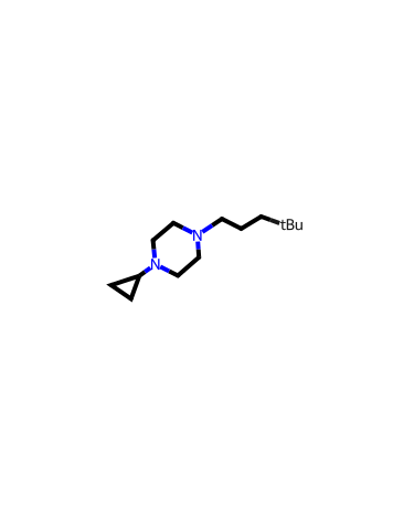 CC(C)(C)CCCN1CCN(C2CC2)CC1